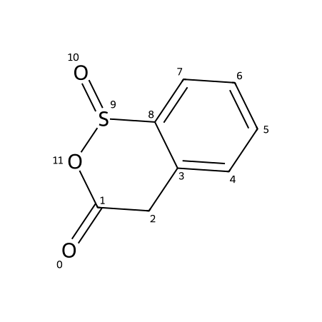 O=C1Cc2ccccc2S(=O)O1